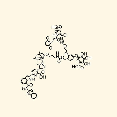 Cc1c(-c2ccc(-c3cc4cccc(C(=O)Nc5nc6ccccc6s5)c4[nH]3)nc2C(=O)O)cnn1CC12CC3(C)CC(C)(C1)CC(OCCCNC(=O)OCc1ccc(O[C@@H]4O[C@H](C(=O)O)[C@@H](O)[C@H](O)[C@H]4O)cc1OCCOCCNC(=O)[C@H](CS(=O)(=O)O)NC(=O)CCN1C(=O)C=CC1=O)(C3)C2